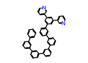 c1ccc(-c2cccc(-c3cccc(-c4cccc(-c5cccc(-c6cccc(-c7cc(-c8cccnc8)cc(-c8cccnc8)c7)c6)c5)c4)c3)c2)cc1